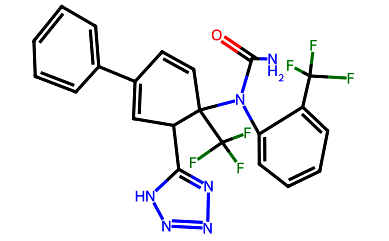 NC(=O)N(c1ccccc1C(F)(F)F)C1(C(F)(F)F)C=CC(c2ccccc2)=CC1c1nnn[nH]1